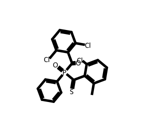 Cc1cccc(Cl)c1C(=S)P(=O)(C(=O)c1c(Cl)cccc1Cl)c1ccccc1